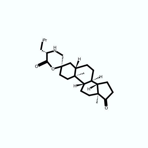 CC(C)C[C@@H]1NC[C@]2(CC[C@@]3(C)[C@@H](CC[C@@H]4[C@@H]3CC[C@]3(C)C(=O)CC[C@@H]43)C2)OC1=O